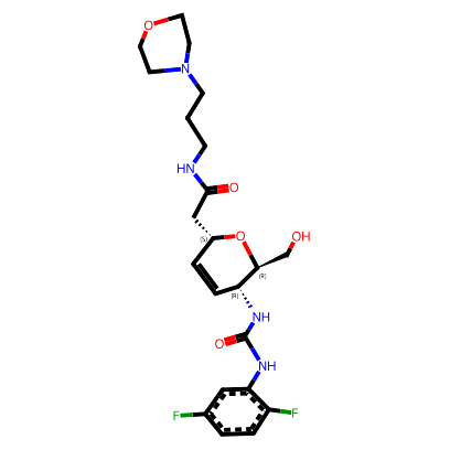 O=C(C[C@H]1C=C[C@@H](NC(=O)Nc2cc(F)ccc2F)[C@H](CO)O1)NCCCN1CCOCC1